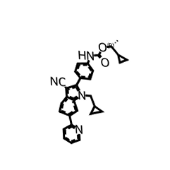 C[C@@H](OC(=O)Nc1ccc(-c2c(C#N)c3ccc(-c4ccccn4)cc3n2CC2CC2)cc1)C1CC1